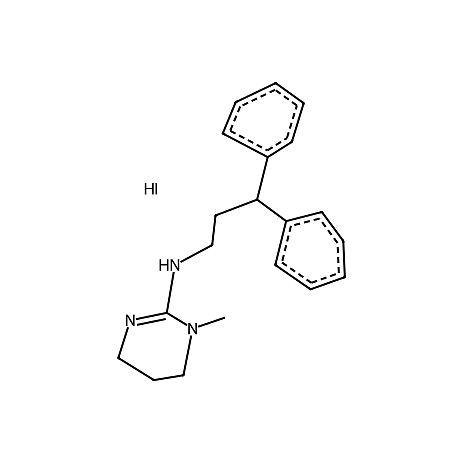 CN1CCCN=C1NCCC(c1ccccc1)c1ccccc1.I